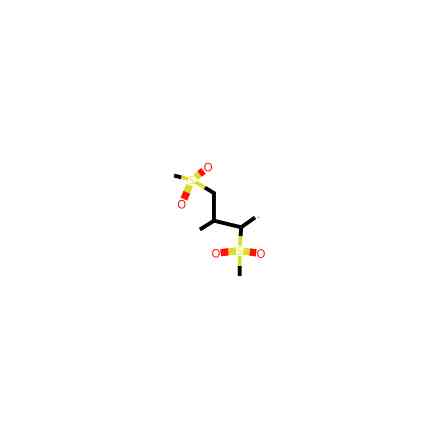 [CH2]C(C(C)CS(C)(=O)=O)S(C)(=O)=O